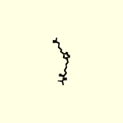 CNCCCCc1cn(CCCCCC(=O)NC(C)C)nn1